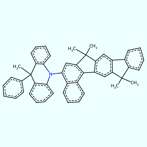 CC1(C)c2ccccc2-c2cc3c(cc21)-c1c(cc(N2c4ccccc4C(C)(c4ccccc4)c4ccccc42)c2ccccc12)C3(C)C